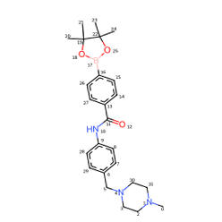 CN1CCN(Cc2ccc(NC(=O)c3ccc(B4OC(C)(C)C(C)(C)O4)cc3)cc2)CC1